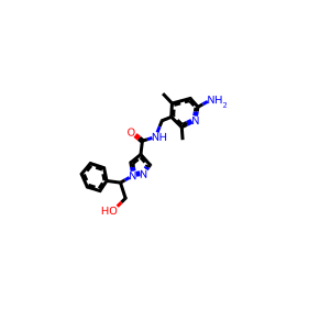 Cc1cc(N)nc(C)c1CNC(=O)c1cnn(C(CO)c2ccccc2)c1